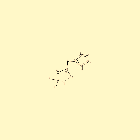 CC1(C)OC[C@H](Cc2ccc[nH]2)O1